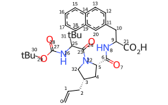 C=CC[C@H]1C[C@@H](C(=O)NC(Cc2ccc3ccccc3c2)C(=O)O)N(C(=O)C(NC(=O)OC(C)(C)C)C(C)(C)C)C1